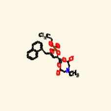 CN1CC(=O)OB(C(/C=C/Cc2cccc3ccccc23)OS(=O)(=O)OCC(Cl)(Cl)Cl)OC(=O)C1